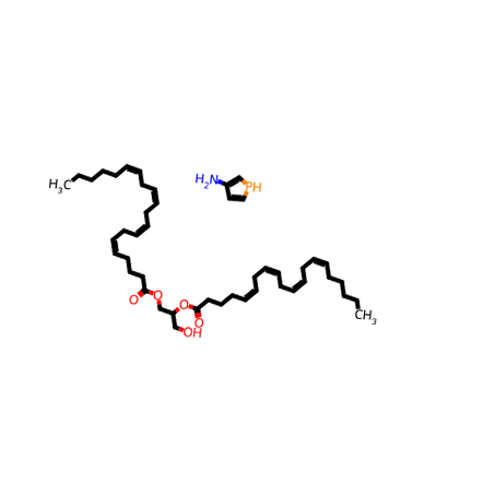 CCCCC/C=C\C/C=C\C/C=C\C/C=C\CCCC(=O)OCC(CO)OC(=O)CCC/C=C\C/C=C\C/C=C\C/C=C\CCCCC.Nc1cc[pH]c1